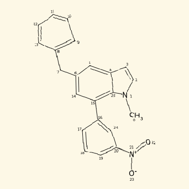 Cn1ccc2cc(Cc3ccccc3)cc(-c3cccc([N+](=O)[O-])c3)c21